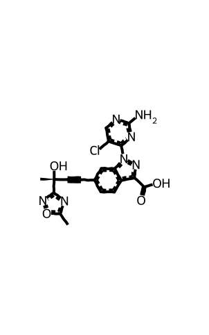 Cc1nc([C@](C)(O)C#Cc2ccc3c(C(=O)O)nn(-c4nc(N)ncc4Cl)c3c2)no1